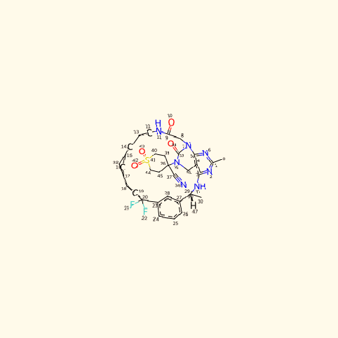 Cc1nc2c3c(n1)N(CC(=O)NCCCC1CC(CCC(F)(F)c4cccc(c4)[C@@H](C)N2)C1)C(=O)N(C1(C#N)CCS(=O)(=O)CC1)C3